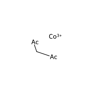 CC(=O)CC(C)=O.[Co+3]